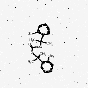 CC(C)(C)c1ccccc1C(C)(C)OC(=O)OC(C)(C)c1ccccc1C(C)(C)C